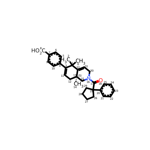 CC1(C)C(c2ccc(C(=O)O)cc2)=CC[C@]2(C)CN(C(=O)C3(c4ccccc4)CCCC3)CC=C12